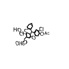 CC(=O)Oc1cc2c(cc1Cl)C(c1ccccc1C(=O)O)c1cc(Cl)c(COC=O)cc1O2